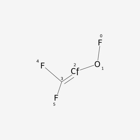 F[O][Cf]=[C](F)F